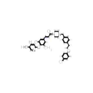 Cc1cc(/C=C/C(=O)N2CCN(Cc3ccc(CCOc4ccc(Cl)cc4)cc3)CC2)cc(C)c1Oc1ccc(O)cn1